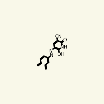 C=C\C=C/C(=C\C=C)/N=N/c1cc(C#N)c(=O)[nH]c1O